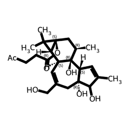 CC(=O)CCC(=O)O[C@@]12C[C@@H](C)[C@@]3(O)[C@@H](C=C(CO)C[C@]4(O)C(O)C(C)=C[C@@H]34)[C@@H]1C2(C)C